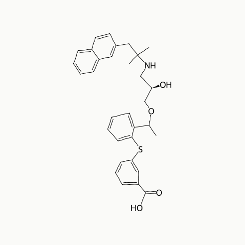 CC(OC[C@H](O)CNC(C)(C)Cc1ccc2ccccc2c1)c1ccccc1Sc1cccc(C(=O)O)c1